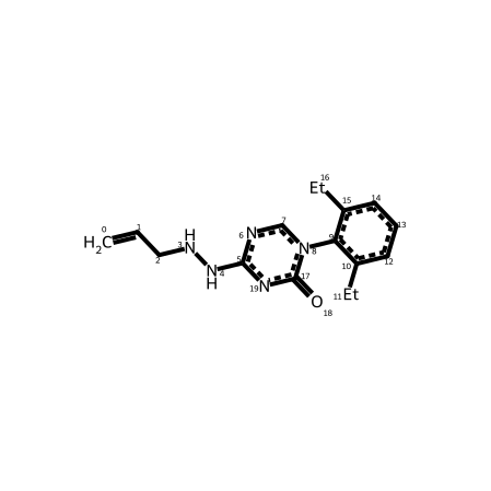 C=CCNNc1ncn(-c2c(CC)cccc2CC)c(=O)n1